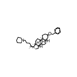 C[C@H](CCCN1CCCCC1)[C@H]1CC[C@H]2[C@@H]3CC[C@@H]4C[C@H](OCc5ccccc5)CC[C@]4(C)[C@H]3CC[C@]12C